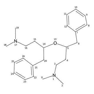 CN(C)CCC(Cc1ccccc1)OC(CCN(C)C)Cc1ccccc1